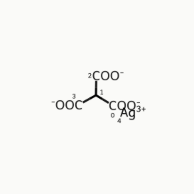 O=C([O-])C(C(=O)[O-])C(=O)[O-].[Ag+3]